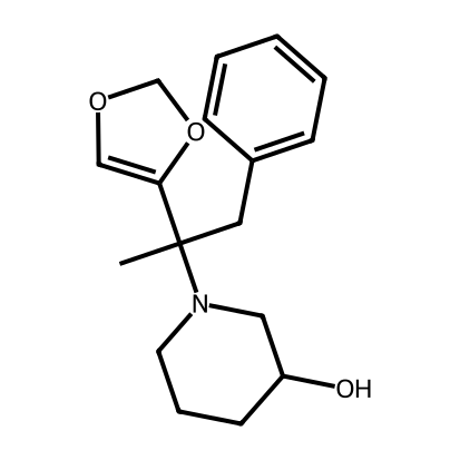 CC(Cc1ccccc1)(C1=COCO1)N1CCCC(O)C1